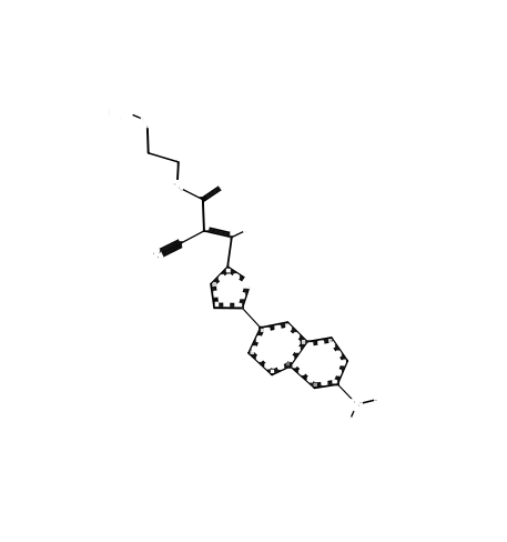 COCCNC(=O)/C(C#N)=C(\C)c1ccc(-c2ccc3cc(N(C)C)ccc3c2)o1